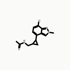 CC(=O)NCC1CC1c1ccc(Cl)c2nn(C)cc12